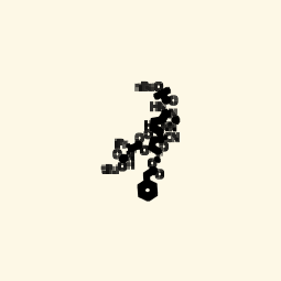 CCCCOC(C)(C)C(=O)Nc1ncnn2c([C@]3(C#N)O[C@H](COC(=O)Cc4ccccc4)[C@@H](OC(=O)[C@@H](NC(=O)OC(C)(C)C)C(C)C)[C@H]3O)ccc12